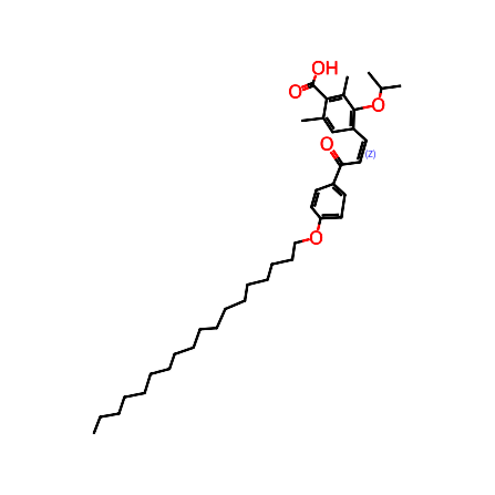 CCCCCCCCCCCCCCCCCCOc1ccc(C(=O)/C=C\c2cc(C)c(C(=O)O)c(C)c2OC(C)C)cc1